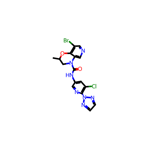 CC1CN(C(=O)Nc2cnc(-n3nccn3)c(Cl)c2)c2cncc(Br)c2O1